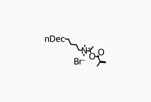 C=C(C)C(=O)OC(C)[N+](C)(C)CCCCCCCCCCCCCC.[Br-]